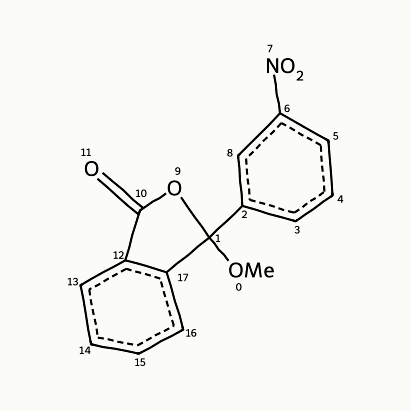 COC1(c2cccc([N+](=O)[O-])c2)OC(=O)c2ccccc21